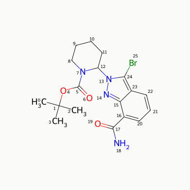 CC(C)(C)OC(=O)N1CCCCC1n1nc2c(C(N)=O)cccc2c1Br